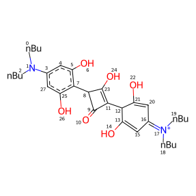 CCCCN(CCCC)c1cc(O)c(C2C(=O)C(C3C(O)=CC(=[N+](CCCC)CCCC)C=C3O)=C2O)c(O)c1